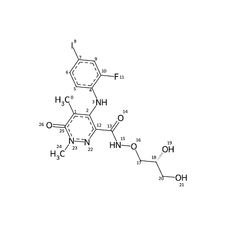 Cc1c(Nc2ccc(I)cc2F)c(C(=O)NOC[C@H](O)CO)nn(C)c1=O